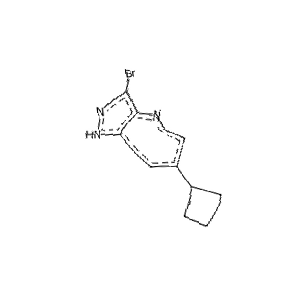 Brc1n[nH]c2cc(C3CCC3)cnc12